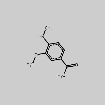 CNc1ccc(C(C)=O)cc1OC